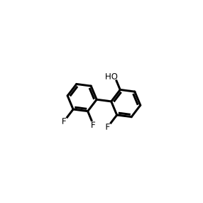 Oc1cccc(F)c1-c1cccc(F)c1F